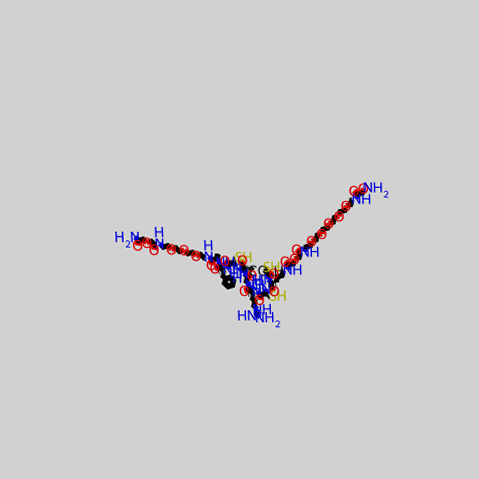 C=C(NC(=O)[C@H](Cc1ccccc1)NC(=O)[C@H](CS)NC(=O)[C@H](CC(=O)O)NC(=O)CNC(=O)[C@H](CCCNC(=N)N)NC(=O)[C@H](CS)NC(=O)[C@H](CCCCNC(=O)COCC(=O)NCCOCCOCCOCCOCCOCCNC(=O)CON)NC(=O)CS)C(=O)NCCOCCOCCOCCNC(=O)COCC(N)=O